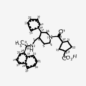 C[C@@H](NCC1CCN(C(=O)C2CCC(C(=O)O)C2)CC1c1ccccc1)c1cccc2ccccc12